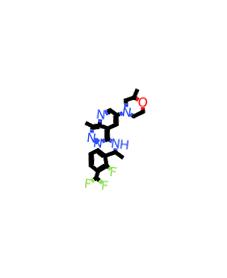 Cc1nnc(NC(C)c2cccc(C(F)F)c2F)c2cc(N3CCOC(C)C3)cnc12